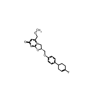 COCc1cc(=O)nc2n1C[C@@H](COc1ccc(C3CC=C(F)CC3)cc1)O2